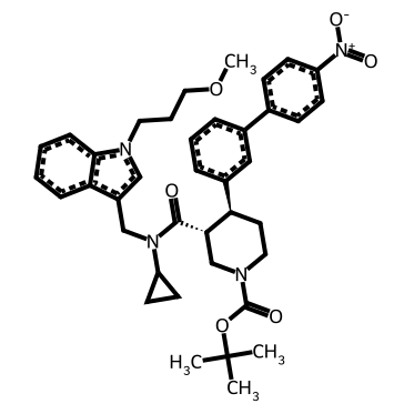 COCCCn1cc(CN(C(=O)[C@H]2CN(C(=O)OC(C)(C)C)CC[C@@H]2c2cccc(-c3ccc([N+](=O)[O-])cc3)c2)C2CC2)c2ccccc21